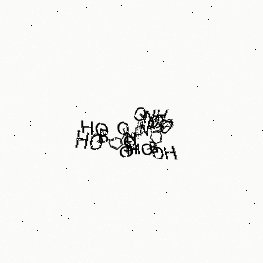 CS(=O)(=O)c1ccc(B(O)O)cc1C(=O)N[C@H]1C[C@@H](C(N)=O)N(C(=O)c2cc(B(O)O)ccc2S(C)(=O)=O)C1